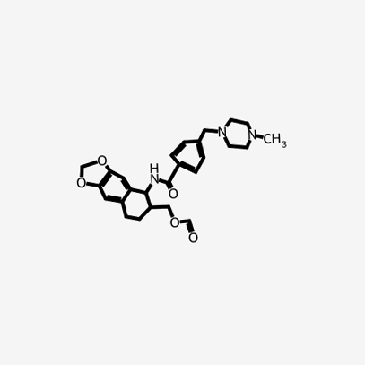 CN1CCN(Cc2ccc(C(=O)NC3c4cc5c(cc4CCC3COC=O)OCO5)cc2)CC1